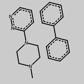 CN1CCN(c2cccnn2)CC1.c1ccc(-c2ccccc2)cc1